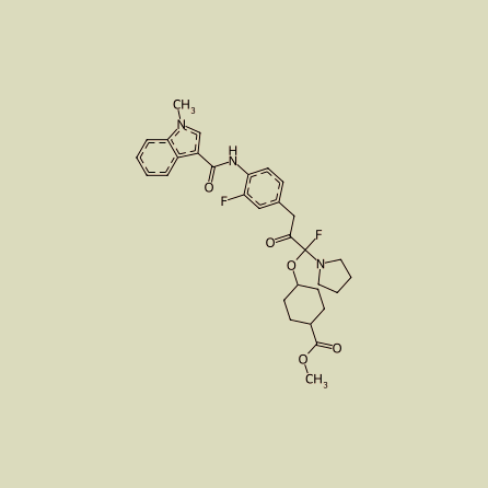 COC(=O)C1CCC(OC(F)(C(=O)Cc2ccc(NC(=O)c3cn(C)c4ccccc34)c(F)c2)N2CCCC2)CC1